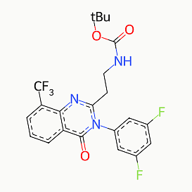 CC(C)(C)OC(=O)NCCc1nc2c(C(F)(F)F)cccc2c(=O)n1-c1cc(F)cc(F)c1